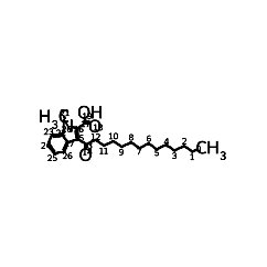 CCCCCCCCCCCCCC(=O)c1c(C(=O)O)n(C)c2ccccc12